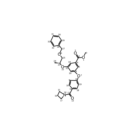 COC(=O)c1cc(Oc2ccc(C(=O)N3CCC3)cc2)cc(O[C@@H](C)COCc2ccccc2)c1